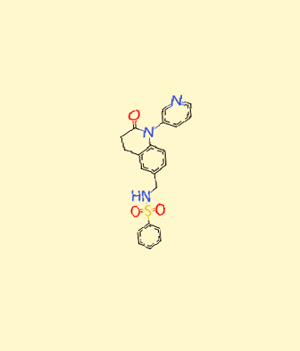 O=C1CCc2cc(CNS(=O)(=O)c3ccccc3)ccc2N1c1cccnc1